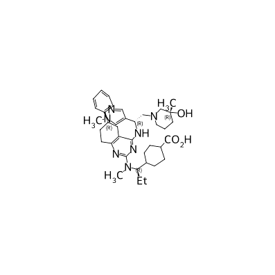 CC[C@H](C1CCC(C(=O)O)CC1)N(C)c1nc2c(c(N[C@@H](CN3CCC[C@@](C)(O)C3)c3cnn(C)c3)n1)C[C@H](c1ccccc1)CC2